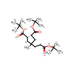 CC(CCC(=O)OC(C)(C)C)(CCC(=O)OC(C)(C)C)CCC(=O)OC(C)(C)C